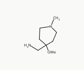 COC1(CN)CCN(C)CC1